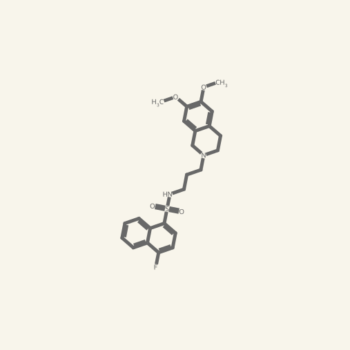 COc1cc2c(cc1OC)CN(CCCNS(=O)(=O)c1ccc(F)c3ccccc13)CC2